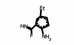 CCc1ccc(N)c(C(=N)F)c1